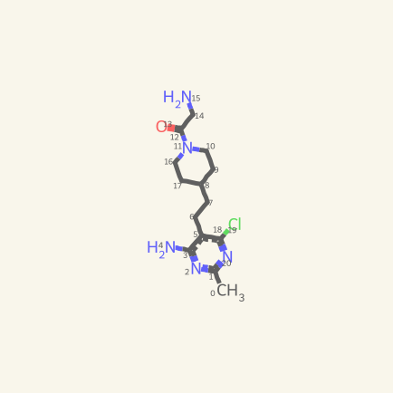 Cc1nc(N)c(CCC2CCN(C(=O)CN)CC2)c(Cl)n1